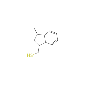 CC1CC(CS)C2C=CC=CC12